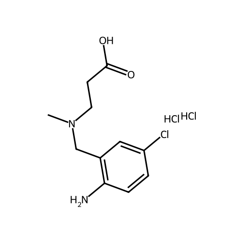 CN(CCC(=O)O)Cc1cc(Cl)ccc1N.Cl.Cl